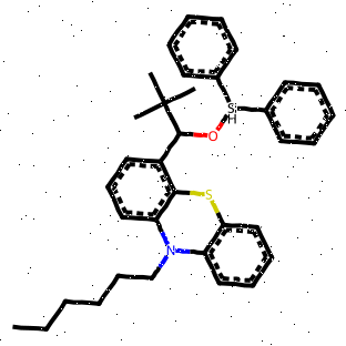 CCCCCCN1c2ccc[c]c2Sc2c(C(O[SiH](c3ccccc3)c3ccccc3)C(C)(C)C)cccc21